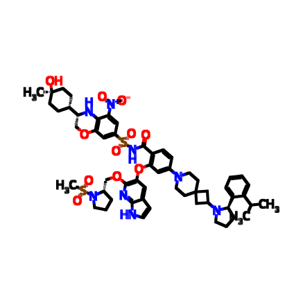 CC(C)c1ccccc1[C@H]1CCCN1C1CC2(CCN(c3ccc(C(=O)NS(=O)(=O)c4cc5c(c([N+](=O)[O-])c4)N[C@@H]([C@H]4CC[C@](C)(O)CC4)CO5)c(Oc4cc5cc[nH]c5nc4OC[C@@H]4CCCN4S(C)(=O)=O)c3)CC2)C1